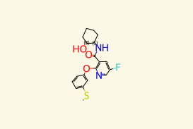 CSc1cccc(Oc2ncc(F)cc2C(=O)N[C@H]2CCCC[C@H]2O)c1